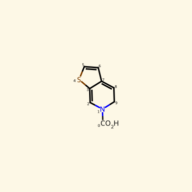 O=C(O)N1C=c2sccc2=CC1